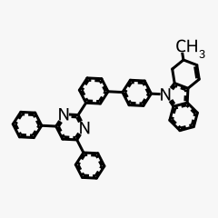 CC1C=Cc2c(n(-c3ccc(-c4cccc(-c5nc(-c6ccccc6)cc(-c6ccccc6)n5)c4)cc3)c3ccccc23)C1